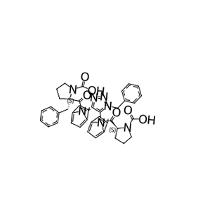 O=C(O)N1CCC[C@H]1C(=O)[N+]1(c2c([N+]3(C(=O)[C@@]4(Cc5ccccc5)CCCN4C(=O)O)C4=CC=C3C=C4)nnn2Cc2ccccc2)C2=CC=C1C=C2